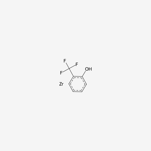 Oc1ccccc1C(F)(F)F.[Zr]